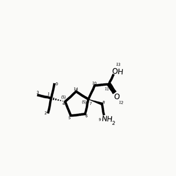 CC(C)(C)[C@H]1CC[C@@](CN)(CC(=O)O)C1